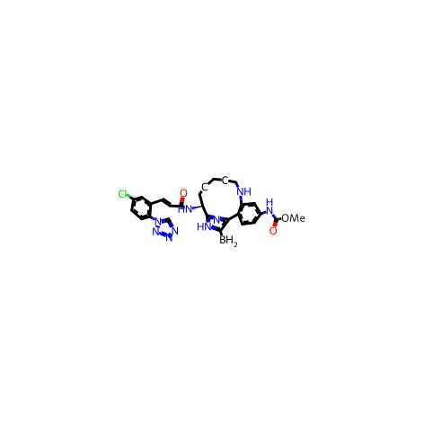 Bc1[nH]c2nc1-c1ccc(NC(=O)OC)cc1NCCCCC[C@@H]2NC(=O)/C=C/c1cc(Cl)ccc1-n1cnnn1